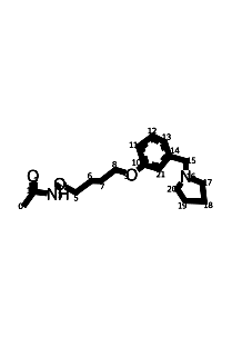 CC(=O)NOCCCCOc1cccc(CN2CCCC2)c1